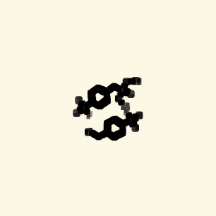 CCOP(=O)(Cc1ccc(S(=O)(=O)F)cc1)OCC.O=S(=O)(F)c1ccc(CCl)cc1